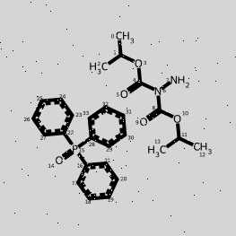 CC(C)OC(=O)N(N)C(=O)OC(C)C.O=P(c1ccccc1)(c1ccccc1)c1ccccc1